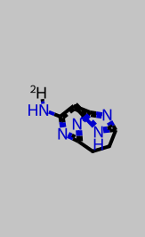 [2H]Nc1nc2nc3nc([nH]c13)CC2